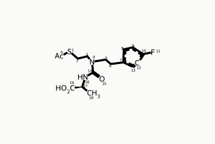 CC(=O)SCCN(CCc1ccc(F)cc1)C(=O)N[C@@H](C)C(=O)O